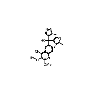 COc1nc2ccc(C(O)(c3cnnn3C)c3cnc(C)n3C)cc2c(Cl)c1OC(C)C